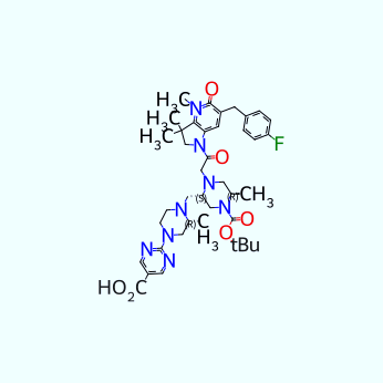 C[C@@H]1CN(c2ncc(C(=O)O)cn2)CCN1C[C@H]1CN(C(=O)OC(C)(C)C)[C@H](C)CN1CC(=O)N1CC(C)(C)c2c1cc(Cc1ccc(F)cc1)c(=O)n2C